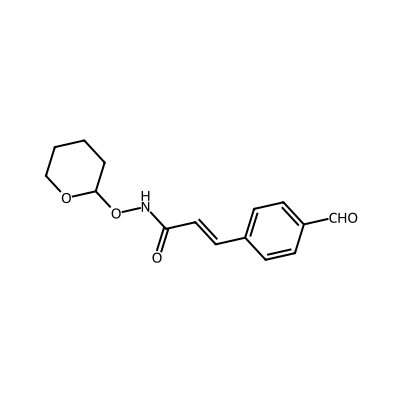 O=Cc1ccc(C=CC(=O)NOC2CCCCO2)cc1